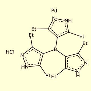 CCc1n[nH]c(CC)c1B(c1c(CC)n[nH]c1CC)c1c(CC)n[nH]c1CC.Cl.[Pd]